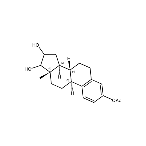 CC(=O)Oc1ccc2c(c1)CC[C@@H]1[C@@H]2CC[C@]2(C)C(O)C(O)C[C@@H]12